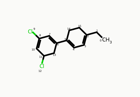 CCC1=CC=C(C2=CC(Cl)=CC(Cl)C2)CC1